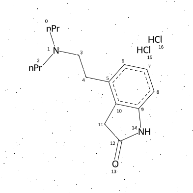 CCCN(CCC)CCc1cccc2c1CC(=O)N2.Cl.Cl